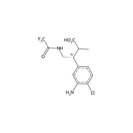 CC(C(=O)O)[C@@H](CNC(=O)C(F)(F)F)c1ccc(Cl)c(N)c1